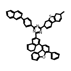 CC1C=Cc2c(sc3c2C=CC(c2nc(-c4ccc(-c5ccc6ccccc6c5)cc4)nc(-c4cc5c(c(-c6ccc(-c7ccccc7)c7oc8ccccc8c67)c4)CCC=C5)n2)C3)C1